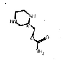 NC(=O)OC[C@H]1CNCCN1